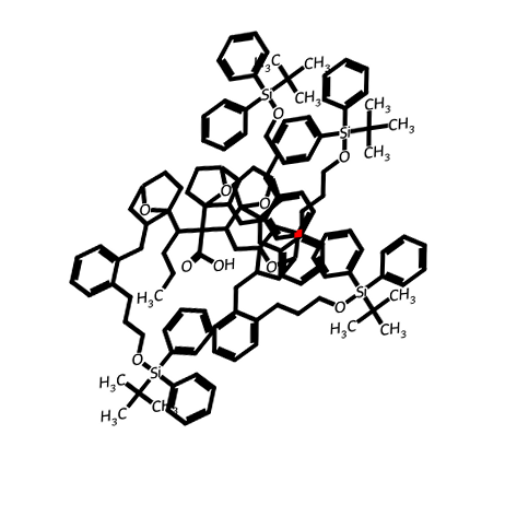 CCCC(C12CCC(CC1Cc1ccccc1CCCO[Si](c1ccccc1)(c1ccccc1)C(C)(C)C)O2)C(C(=O)O)(C(CC12CCC(CC1Cc1ccccc1CCCO[Si](c1ccccc1)(c1ccccc1)C(C)(C)C)O2)C12CCC(CC1Cc1ccccc1CCCO[Si](c1ccccc1)(c1ccccc1)C(C)(C)C)O2)C12CCC(CC1Cc1ccccc1CCCO[Si](c1ccccc1)(c1ccccc1)C(C)(C)C)O2